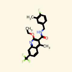 CCOc1nc2cc(C(F)(F)F)ccc2c(C)c1C(=O)NCc1ccc(F)c(C)c1